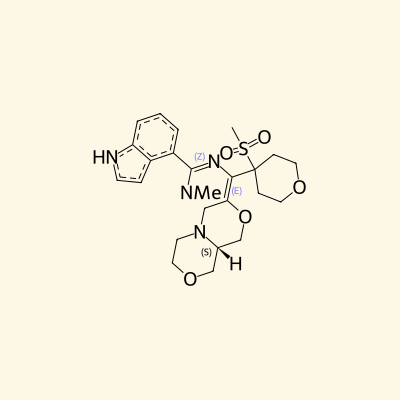 CN/C(=N\C(=C1/CN2CCOC[C@H]2CO1)C1(S(C)(=O)=O)CCOCC1)c1cccc2[nH]ccc12